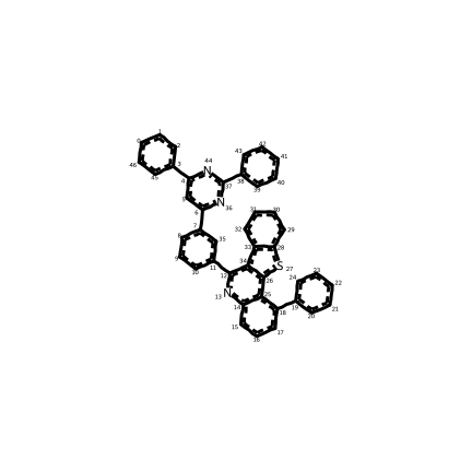 c1ccc(-c2cc(-c3cccc(-c4nc5cccc(-c6ccccc6)c5c5sc6ccccc6c45)c3)nc(-c3ccccc3)n2)cc1